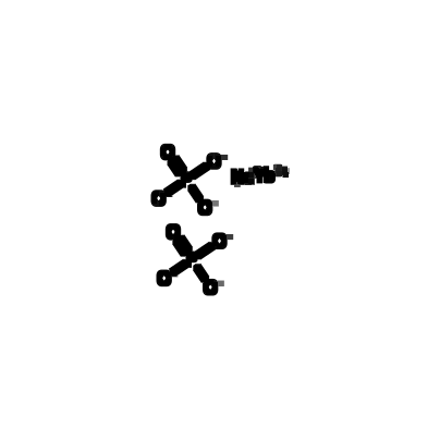 O=P([O-])([O-])[O-].O=P([O-])([O-])[O-].[Nd+3].[Yb+3]